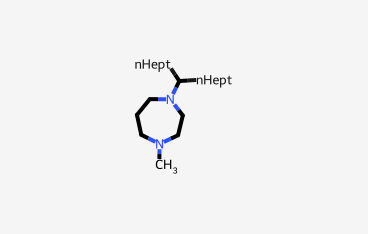 CCCCCCCC(CCCCCCC)N1CCCN(C)CC1